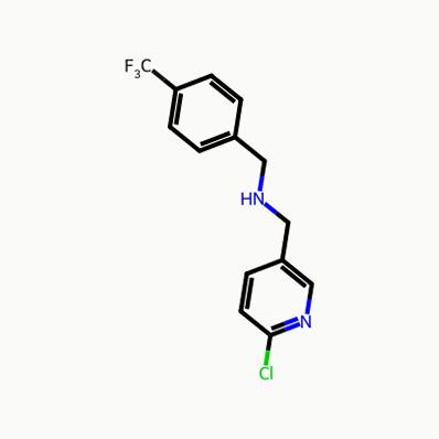 FC(F)(F)c1ccc(CNCc2ccc(Cl)nc2)cc1